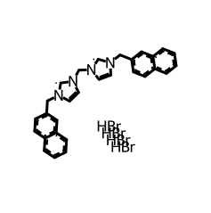 Br.Br.Br.Br.[CH]1N(Cc2ccc3ccccc3c2)C=CN1CN1[CH]N(Cc2ccc3ccccc3c2)C=C1